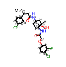 CNC(CC(=O)NC12CCC(NC(=O)COc3ccc(Cl)c(F)c3)(CC1)[C@@H](O)C2)c1ccc(Cl)cc1